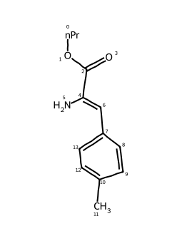 CCCOC(=O)/C(N)=C/c1ccc(C)cc1